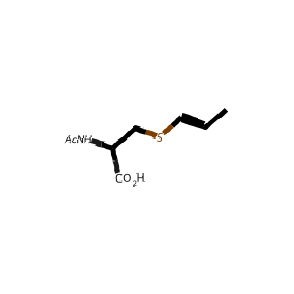 CC=CSCC(NC(C)=O)C(=O)O